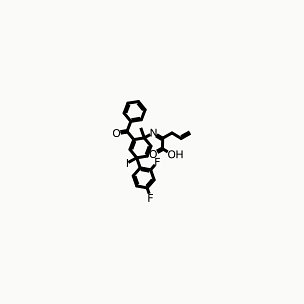 C=CCC(=NC1(C)C=CC(I)(c2ccc(F)cc2F)C=C1C(=O)c1ccccc1)C(=O)O